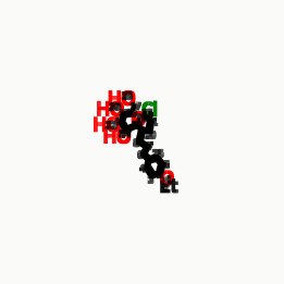 CCOc1ccc(CC/C=C(\C=C/CCl)[C@@H]2O[C@H](CO)[C@@H](O)[C@H](O)[C@H]2O)cc1